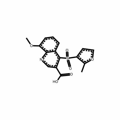 COc1cccc2c(S(=O)(=O)c3ccoc3C)c(C(=O)O)cnc12